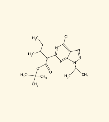 CCC(C)N(C(=O)OC(C)(C)C)c1nc(Cl)c2ncn(C(C)C)c2n1